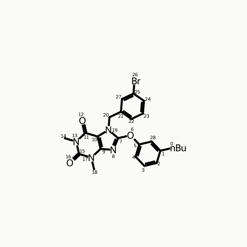 CCCCc1cccc(Oc2nc3c(c(=O)n(C)c(=O)n3C)n2Cc2cccc(Br)c2)c1